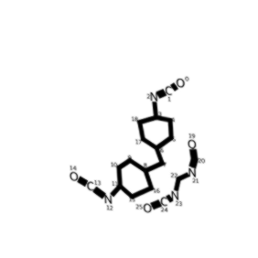 O=C=NC1CCC(CC2CCC(N=C=O)CC2)CC1.O=C=NCN=C=O